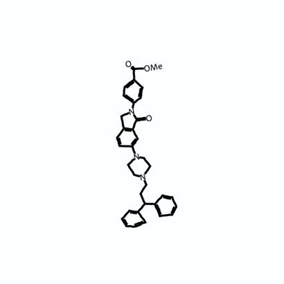 COC(=O)c1ccc(N2Cc3ccc(N4CCN(CCC(c5ccccc5)c5ccccc5)CC4)cc3C2=O)cc1